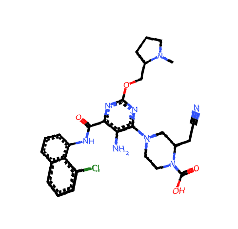 CN1CCCC1COc1nc(C(=O)Nc2cccc3cccc(Cl)c23)c(N)c(N2CCN(C(=O)O)C(CC#N)C2)n1